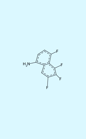 Nc1ccc(F)c2c(F)c(F)c(F)cc12